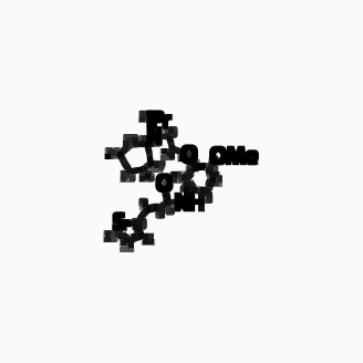 COc1ccc(NC(=O)C=Cc2cccs2)cc1OCCN(C(C)C)C1CCCCC1